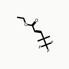 CCOC(=O)C=CC(C)(C)C(F)(F)F